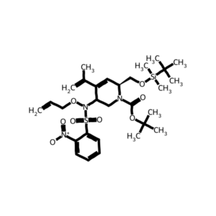 C=CCON(C1CN(C(=O)OC(C)(C)C)[C@H](CO[Si](C)(C)C(C)(C)C)C=C1C(=C)C)S(=O)(=O)c1ccccc1[N+](=O)[O-]